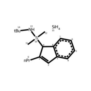 CCCC1=Cc2ccccc2[CH]1[Ti]([CH3])([CH3])[NH]C(C)(C)C.[SiH4]